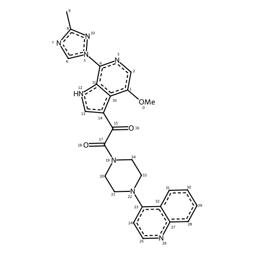 COc1cnc(-n2cnc(C)n2)c2[nH]cc(C(=O)C(=O)N3CCN(c4ccnc5ccccc45)CC3)c12